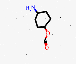 NC1CCC(OC=O)CC1